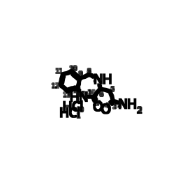 Cl.Cl.NC(=O)CC1NCc2ccccc2NC1=O